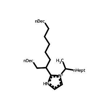 CCCCCCCCCCCCCCCC(CCCCCCCCCCC)c1[nH]cc[n+]1C(C)CCCCCCC